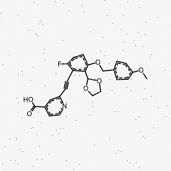 COc1ccc(COc2ccc(F)c(C#Cc3cc(C(=O)O)ccn3)c2C2OCCO2)cc1